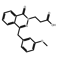 COc1cccc(Cc2nn(CCC(=O)O)c(=O)c3ccccc23)c1